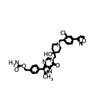 Cn1nc2c(=O)n(CC3(O)CCN(Cc4ccc(-c5ccon5)cc4Cl)CC3)cnc2c1-c1ccc(COC(N)=O)cc1